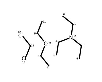 CCN(CC)CC.CCOCC.ClCCl